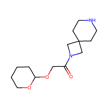 O=C(COC1CCCCO1)N1CC2(CCNCC2)C1